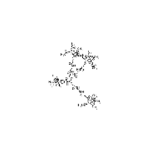 CCCOP(Oc1ccc(C(=O)NC(COCCC(=O)NCCCNC(=O)CCCCOC2OC(COC(C)=O)C(OC(C)=O)C(OC(C)=O)C2NC(C)=O)(COCCC(=O)NCCCNC(=O)CCCCOC2OC(COC(C)=O)C(OC(C)=O)C(OC(C)=O)C2NC(C)=O)COCCC(=O)NCCCNC(=O)CCCCOC2OC(COC(C)=O)C(OC(C)=O)C(OC(C)=O)C2NC(C)=O)cc1)N(C(C)C)C(C)C